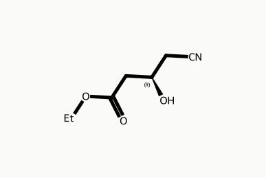 CCOC(=O)C[C@H](O)CC#N